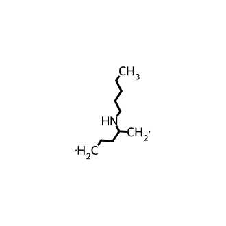 [CH2]CCC([CH2])NCCCCC